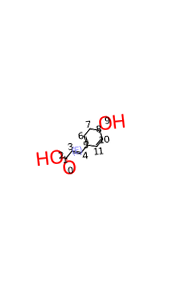 O=C(O)/C=C/C1=CCC(O)C=C1